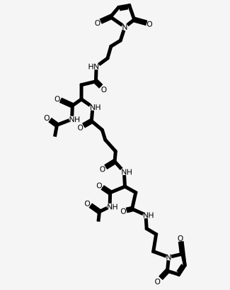 CC(=O)NC(=O)C(CC(=O)NCCCN1C(=O)C=CC1=O)NC(=O)CCCC(=O)NC(CC(=O)NCCCN1C(=O)C=CC1=O)C(=O)NC(C)=O